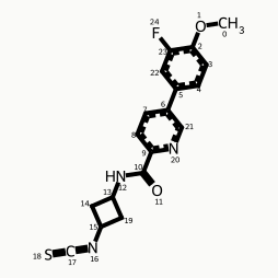 COc1ccc(-c2ccc(C(=O)NC3CC(N=C=S)C3)nc2)cc1F